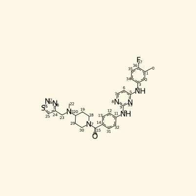 Cc1cc(Nc2ccnc(Nc3ccc(C(=O)N4CCC(N(C)Cc5csnn5)CC4)cc3)n2)ccc1F